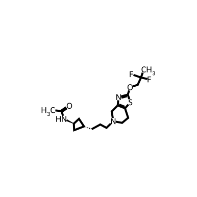 CC(=O)N[C@H]1C[C@H](CCCN2CCc3sc(OCC(C)(F)F)nc3C2)C1